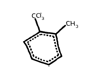 Cc1c[c]ccc1C(Cl)(Cl)Cl